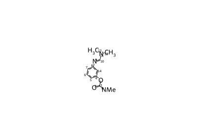 CNC(=O)Oc1cccc(/N=C/N(C)C)c1